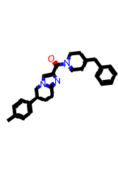 Cc1ccc(C2CCc3nc(C(=O)N4CCC(Cc5ccccc5)CC4)cn3C2)cc1